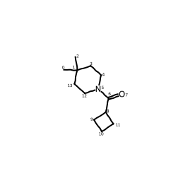 CC1(C)CCN(C(=O)C2CCC2)CC1